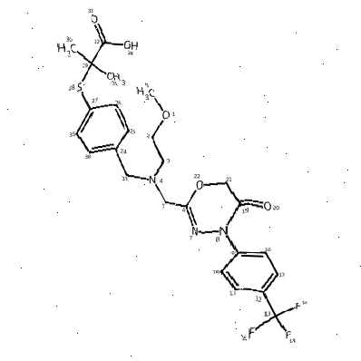 COCCN(CC1=NN(c2ccc(C(F)(F)F)cc2)C(=O)CO1)Cc1ccc(SC(C)(C)C(=O)O)cc1